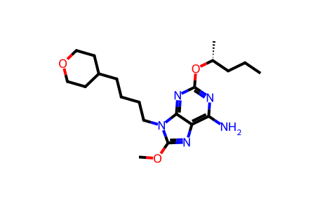 CCC[C@@H](C)Oc1nc(N)c2nc(OC)n(CCCCC3CCOCC3)c2n1